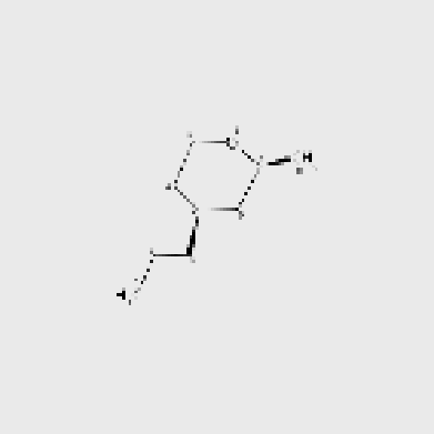 CCC[C@H]1CCO[C@@H](C)C1